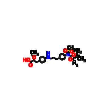 CCOC(Cc1ccc(NCCCc2ccc(N(C(=O)OC(C)(C)C)S(C)(=O)=O)cc2)cc1)C(=O)O